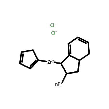 CCCC1CC2CC=CC=C2[CH]1[Zr+2][C]1=CC=CC1.[Cl-].[Cl-]